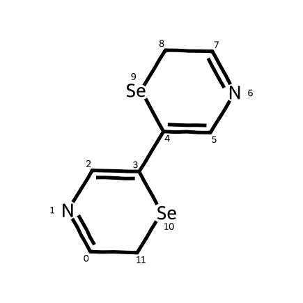 C1=NC=C(C2=CN=CC[Se]2)[Se]C1